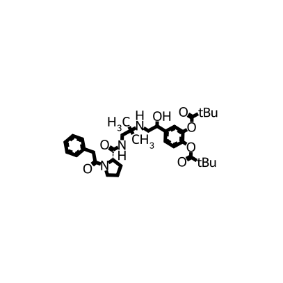 CC(C)(CNC(=O)[C@@H]1CCCN1C(=O)Cc1ccccc1)NCC(O)c1ccc(OC(=O)C(C)(C)C)c(OC(=O)C(C)(C)C)c1